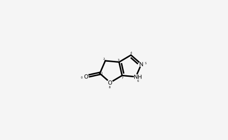 O=C1Cc2cn[nH]c2O1